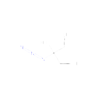 CCC(C)(CC)N=[N+]=[N-]